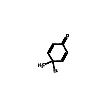 CCC1(C)C=CC(=O)C=C1